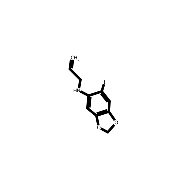 C=CCNc1cc2c(cc1I)OCO2